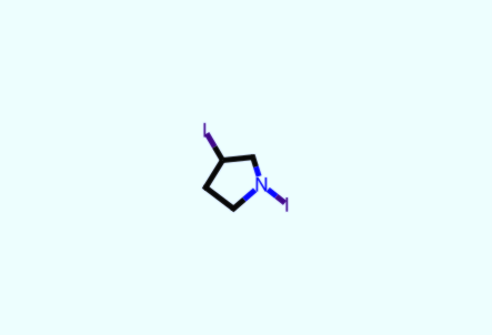 IC1CCN(I)C1